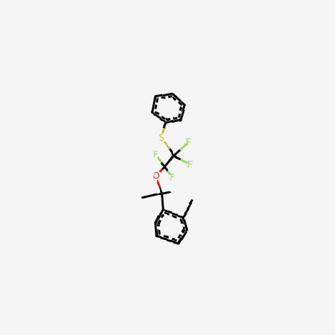 Cc1ccccc1C(C)(C)OC(F)(F)C(F)(F)Sc1ccccc1